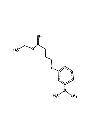 CCOC(=N)CCCOc1cccc(N(C)C)c1